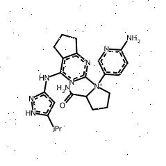 CC(C)c1cc(Nc2nc([N+]3(c4ccc(N)nc4)CCCC3C(N)=O)nc3c2CCC3)n[nH]1